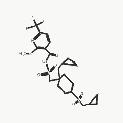 CSc1nc(C(F)(F)F)ccc1C(=O)NS(=O)(=O)CC1(CC2CC2)CCC(S(=O)(=O)CC2CC2)CC1